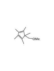 COCC1(C)C(C)=C(C)C(C)=C1C